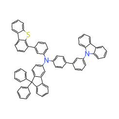 c1ccc(C2(c3ccccc3)c3ccccc3-c3cc(N(c4ccc(-c5cccc(-n6c7ccccc7c7ccccc76)c5)cc4)c4cccc(-c5cccc6c5sc5ccccc56)c4)ccc32)cc1